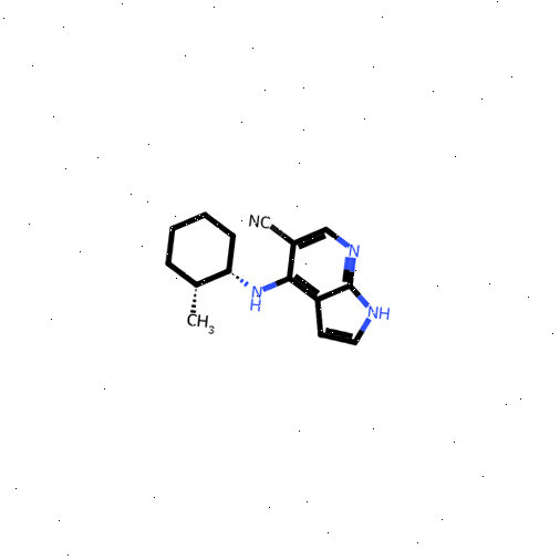 C[C@@H]1CCCC[C@@H]1Nc1c(C#N)cnc2[nH]ccc12